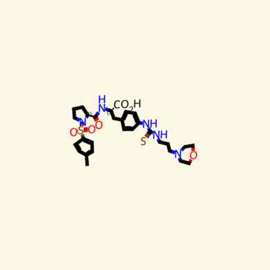 Cc1ccc(S(=O)(=O)N2CCC[C@H]2C(=O)N[C@@H](Cc2ccc(NC(=S)NCCCN3CCOCC3)cc2)C(=O)O)cc1